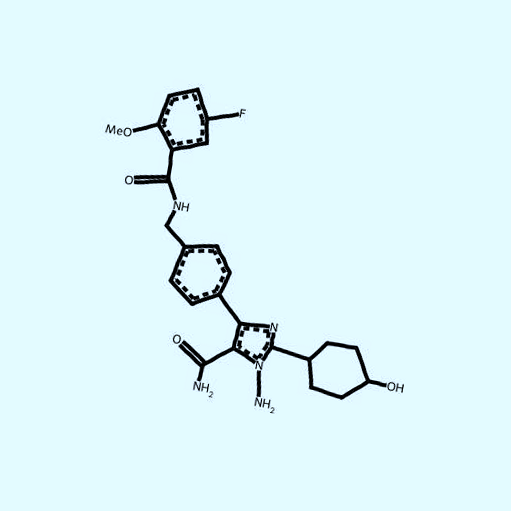 COc1ccc(F)cc1C(=O)NCc1ccc(-c2nc(C3CCC(O)CC3)n(N)c2C(N)=O)cc1